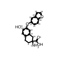 Cl.NC1(C(=O)O)CCc2ccc(Oc3ccc4occc4c3)cc2C1